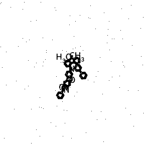 CC1(C)c2ccccc2-c2c(N(c3cccc(-c4ccccc4)c3)c3ccc4c(c3)oc3cc5nc(-c6ccccc6)oc5cc34)cccc21